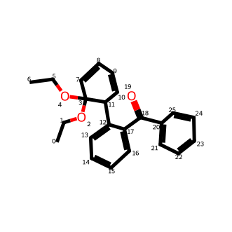 CCOC1(OCC)C=CC=CC1c1ccccc1C(=O)c1ccccc1